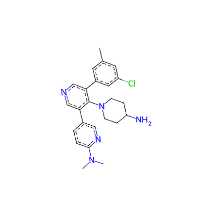 Cc1cc(Cl)cc(-c2cncc(-c3ccc(N(C)C)nc3)c2N2CCC(N)CC2)c1